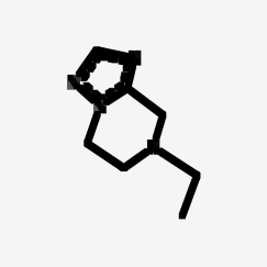 CCN1CCn2ncnc2C1